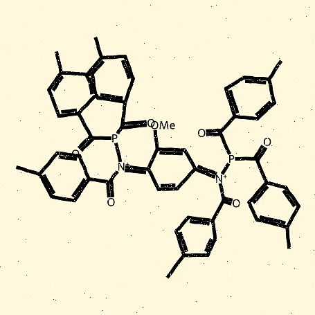 COC1=CC(=[N+](C(=O)c2ccc(C)cc2)P(C(=O)c2ccc(C)cc2)C(=O)c2ccc(C)cc2)C=CC1=[N+](C(=O)c1ccc(C)cc1)P(C(=O)c1ccc(C)cc1)C(=O)c1ccc(C)cc1